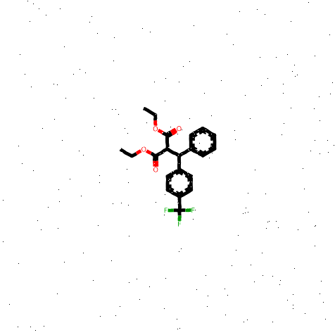 CCOC(=O)C(C(=O)OCC)C(c1ccccc1)c1ccc(C(F)(F)F)cc1